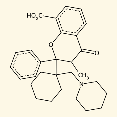 CC1C(=O)c2cccc(C(=O)O)c2OC1(c1ccccc1)C1(CN2CCCCC2)CCCCC1